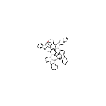 Cc1c(-c2cccc3c2sc2ccccc23)nc(-c2c(-n3c4cc5ccccc5cc4c4c5ccccc5ccc43)ccc3c2oc2ccccc23)nc1-c1cccc2c3ccccc3n(-c3ccccc3)c12